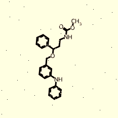 COC(=O)NCCC(OCc1cccc(Nc2ccccc2)c1)c1ccccc1